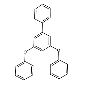 c1ccc(Oc2cc(Oc3ccccc3)cc(-c3ccccc3)c2)cc1